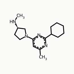 CN[C@@H]1CCN(c2cc(C)nc(C3CCCCC3)n2)C1